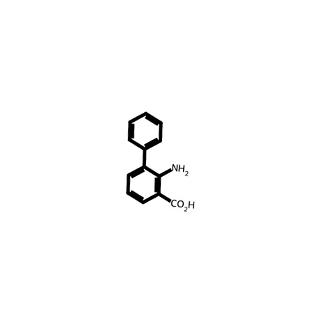 Nc1c(C(=O)O)cccc1-c1ccccc1